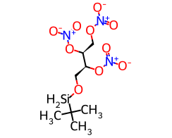 CC(C)(C)[SiH2]OC[C@H](O[N+](=O)[O-])[C@H](CO[N+](=O)[O-])O[N+](=O)[O-]